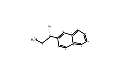 CC(C)[C@@H](CN)c1ccc2ccccc2c1